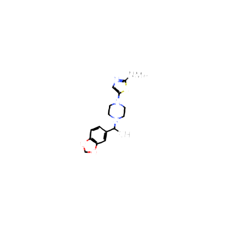 CNc1ncc(N2CCN(C(C)c3ccc4c(c3)OCO4)CC2)s1